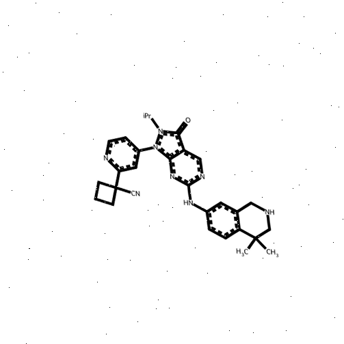 CC(C)n1c(=O)c2cnc(Nc3ccc4c(c3)CNCC4(C)C)nc2n1-c1ccnc(C2(C#N)CCC2)c1